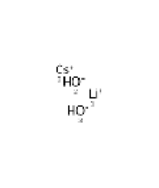 [Cs+].[Li+].[OH-].[OH-]